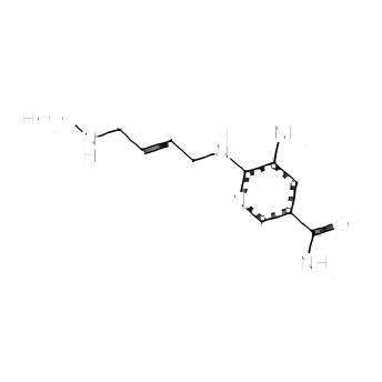 NC(=O)c1cnc(NC/C=C/CNC(=O)O)c(N)c1